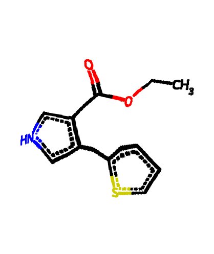 CCOC(=O)c1c[nH]cc1-c1cccs1